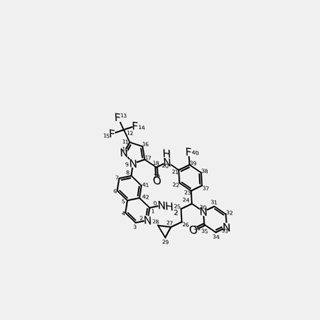 Nc1nccc2ccc(-n3nc(C(F)(F)F)cc3C(=O)Nc3cc(C(CCC4CC4)n4ccncc4=O)ccc3F)cc12